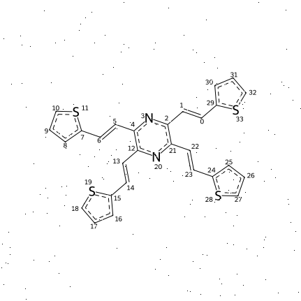 C(=C\c1nc(/C=C/c2cccs2)c(/C=C/c2cccs2)nc1/C=C/c1cccs1)/c1cccs1